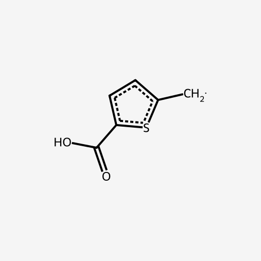 [CH2]c1ccc(C(=O)O)s1